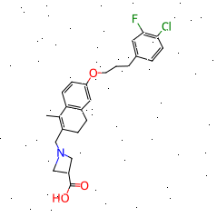 CC1=C(CN2CC(C(=O)O)C2)CCc2cc(OCCCc3ccc(Cl)c(F)c3)ccc21